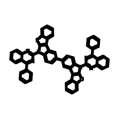 c1ccc(-c2nc(-n3c4ccc(-c5ccc6c(c5)c5c7ccccc7sc5n6-c5nc(-c6ccccc6)c6ccccc6n5)cc4c4c5ccccc5oc43)nc3ccccc23)cc1